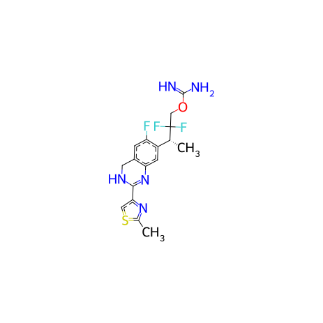 Cc1nc(C2=Nc3cc([C@@H](C)C(F)(F)COC(=N)N)c(F)cc3CN2)cs1